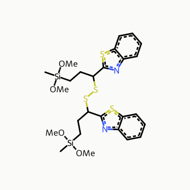 CO[Si](C)(CCC(SSC(CC[Si](C)(OC)OC)c1nc2ccccc2s1)c1nc2ccccc2s1)OC